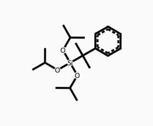 CC(C)O[Si](OC(C)C)(OC(C)C)C(C)(C)c1ccccc1